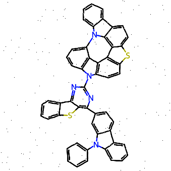 c1ccc(-n2c3ccccc3c3ccc(-c4nc(-n5c6ccc7sc8ccc9c%10ccccc%10n%10c%11cccc5c%11c6c7c8c9%10)nc5c4sc4ccccc45)cc32)cc1